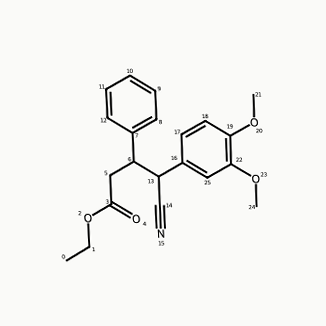 CCOC(=O)CC(c1ccccc1)C(C#N)c1ccc(OC)c(OC)c1